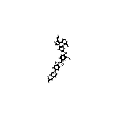 CCC1c2c(C#N)ncn2-c2cnc(Nc3ccc(C(=O)NC4CCC(N5CCN(CC(C)C)CC5)CC4)cc3OC)nc2N1C(C)C